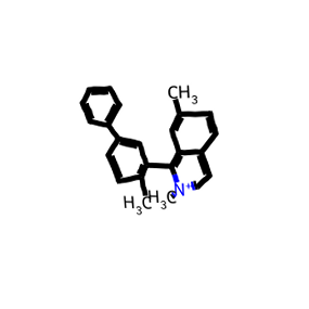 Cc1ccc2cc[n+](C)c(-c3cc(-c4ccccc4)ccc3C)c2c1